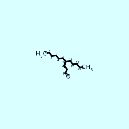 CCCCCCC(CC[C]=O)CCCCC